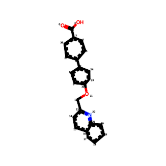 O=C(O)c1ccc(-c2ccc(OCc3ccc4ccccc4n3)cc2)cc1